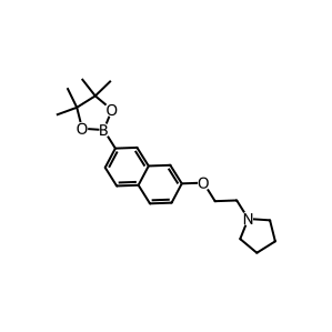 CC1(C)OB(c2ccc3ccc(OCCN4CCCC4)cc3c2)OC1(C)C